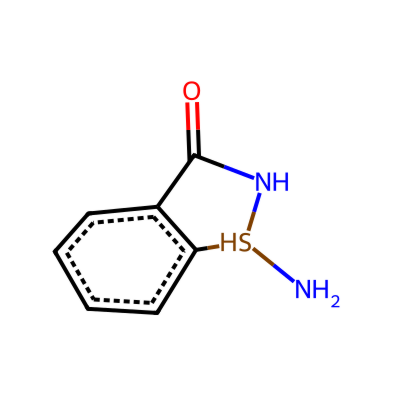 N[SH]1NC(=O)c2ccccc21